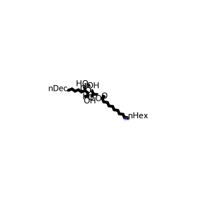 CCCCCC/C=C\CCCCCCCCC(=O)OCC(COP(=O)(O)O)OC(O)(I)CCCCCCCCCCCCCCCCC